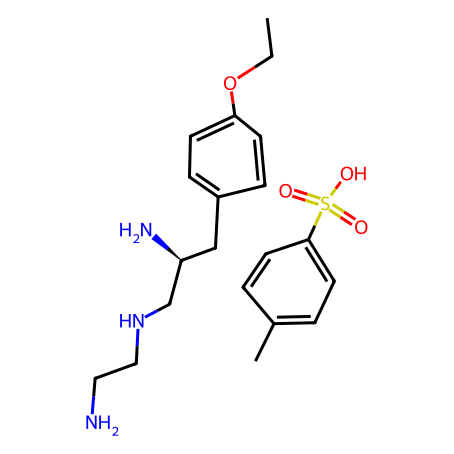 CCOc1ccc(C[C@H](N)CNCCN)cc1.Cc1ccc(S(=O)(=O)O)cc1